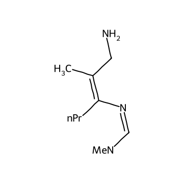 CCCC(/N=C\NC)=C(\C)CN